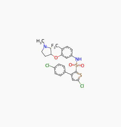 CN1CCC(Oc2cc(NS(=O)(=O)c3sc(Cl)cc3-c3ccc(Cl)cc3)ccc2C(F)(F)F)C1